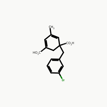 CC1=CC(Cc2cccc(Br)c2)(C(=O)O)CC(C(=O)O)=C1